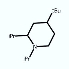 CC(C)C1CC(C(C)(C)C)CCN1C(C)C